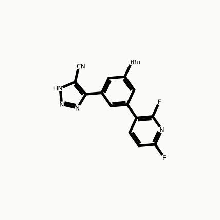 CC(C)(C)c1cc(-c2ccc(F)nc2F)cc(-c2nn[nH]c2C#N)c1